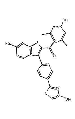 Cc1cc(O)cc(C)c1C(=O)c1sc2cc(O)ccc2c1-c1ccc(-c2nc(O)co2)cc1